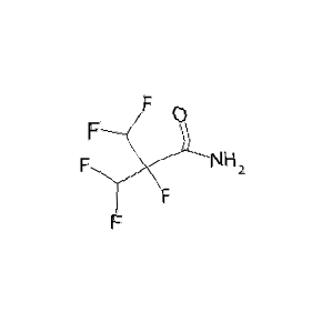 NC(=O)C(F)(C(F)F)C(F)F